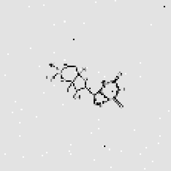 B[PH]1(O)OC[C@H]2O[C@@H](n3cnc4c(=O)[nH]c(=O)[nH]c43)C(O)[C@@H]2O1